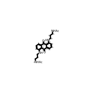 CC(=O)NCCCNc1cccc2c1C(=O)c1cccc(NCCCNC(C)=O)c1C2=O